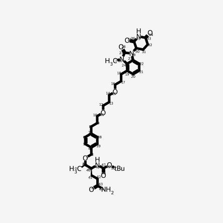 C[C@@H](OCc1ccc(CCCOCCCOCCCc2cccc3c2n(C)c(=O)n3C2CCC(=O)NC2=O)cc1)[C@H](CCC(N)=O)NC(=O)OC(C)(C)C